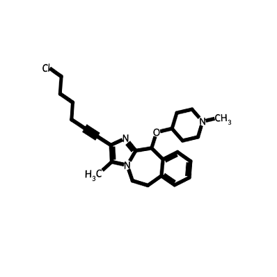 Cc1c(C#CCCCCCl)nc2n1CCc1ccccc1C2OC1CCN(C)CC1